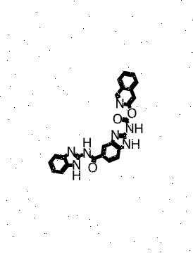 O=C(Nc1nc2cc(C(=O)Nc3nc4ccccc4[nH]3)ccc2[nH]1)Oc1cc2ccccc2cn1